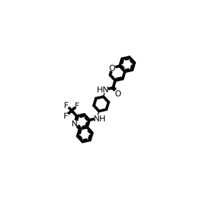 O=C(N[C@H]1CC[C@@H](Nc2cc(C(F)(F)F)nc3ccccc23)CC1)C1=Cc2ccccc2OC1